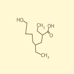 CCC(CCCCO)CC(CC)C(=O)O